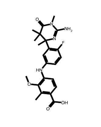 COc1c(Nc2ccc(F)c(C3(C)N=C(N)N(C)C(=O)C3(C)C)c2)ccc(C(=O)O)c1C